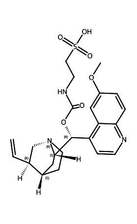 C=C[C@H]1C[N@]2CC[C@H]1C[C@H]2[C@H](OC(=O)NCCS(=O)(=O)O)c1ccnc2ccc(OC)cc12